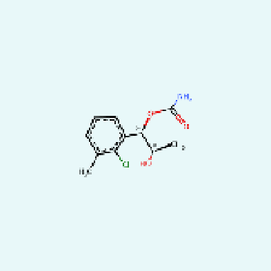 Cc1cccc([C@@H](OC(N)=O)[C@@H](C)O)c1Cl